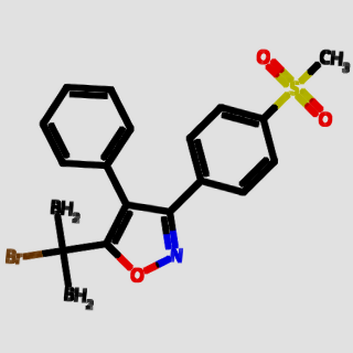 BC(B)(Br)c1onc(-c2ccc(S(C)(=O)=O)cc2)c1-c1ccccc1